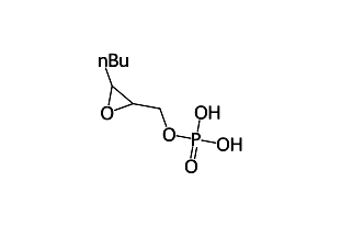 CCCCC1OC1COP(=O)(O)O